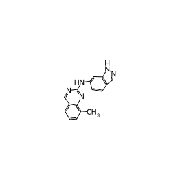 Cc1cccc2cnc(Nc3ccc4cn[nH]c4c3)nc12